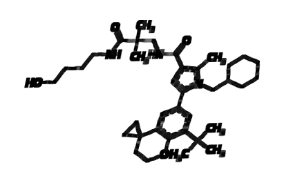 Cc1c(C(=O)NCC(C)(C)C(=O)NCCCCO)cc(-c2cc(C(C)(C)C)c3c(c2)C2(CCO3)CC2)n1CC1CCCCC1